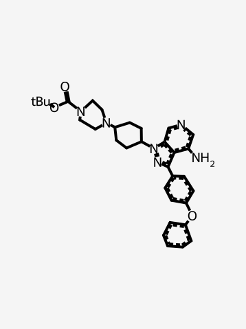 CC(C)(C)OC(=O)N1CCN(C2CCC(n3nc(-c4ccc(Oc5ccccc5)cc4)c4c(N)cncc43)CC2)CC1